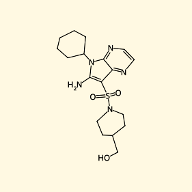 Nc1c(S(=O)(=O)N2CCC(CO)CC2)c2nccnc2n1C1CCCCC1